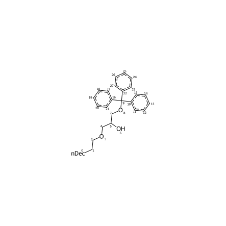 CCCCCCCCCCCCOCC(O)COC(c1ccccc1)(c1ccccc1)c1ccccc1